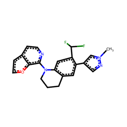 Cn1cc(-c2cc3c(cc2C(F)F)N(c2nccc4ccoc24)CCC3)cn1